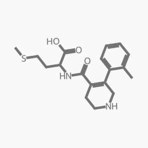 CSCCC(NC(=O)C1=C(c2ccccc2C)CNCC1)C(=O)O